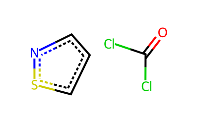 O=C(Cl)Cl.c1cnsc1